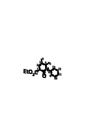 CCOC(=O)c1cc(C)c(C)n(-c2ccccc2)c1=O